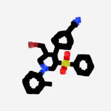 Cc1ccccc1N1CC(S(=O)(=O)c2ccccc2)=C(c2ccc(C#N)cc2)C(CBr)C1